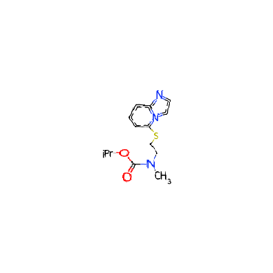 CC(C)OC(=O)N(C)CCSc1cccc2nccn12